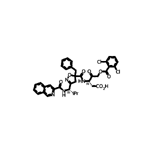 CC(C)[C@H](NC(=O)c1cc2ccccc2cn1)C1=NOC(Cc2ccccc2)(C(=O)N[C@@H](CC(=O)O)C(=O)COC(=O)c2c(Cl)cccc2Cl)C1